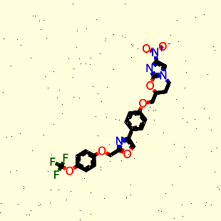 O=[N+]([O-])c1cn2c(n1)OC(COc1ccc(-c3coc(COc4ccc(OC(F)(F)F)cc4)n3)cc1)CC2